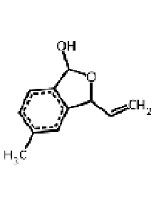 C=CC1OC(O)c2ccc(C)cc21